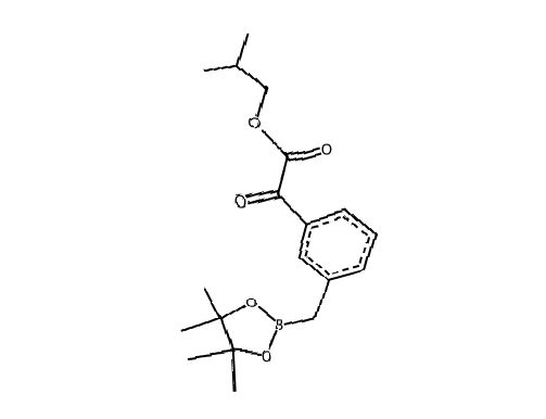 CC(C)COC(=O)C(=O)c1cccc(CB2OC(C)(C)C(C)(C)O2)c1